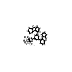 CC1(C)OB(c2cc(-c3cccc4oc5ccccc5c34)cc(-c3cccc4oc5ccccc5c34)c2)OC1(C)C